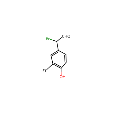 CCc1cc(C(Br)C=O)ccc1O